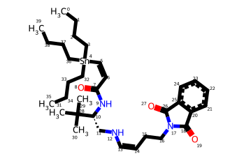 CCC[CH2][Sn](/[CH]=C\C(=O)N[C@H](CN/C=C\CCN1C(=O)c2ccccc2C1=O)C(C)(C)C)([CH2]CCC)[CH2]CCC